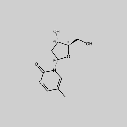 Cc1cnc(=O)n([C@@H]2C[C@H](O)[C@@H](CO)O2)c1